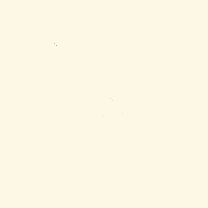 c1ccc(-n2c3ccccc3c3cc(-c4ccc5c(c4)c4ccccc4n5C4=NCCC(c5ccc(-c6cccc7c6sc6ccccc67)cc5)=N4)ccc32)cc1